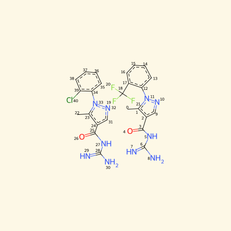 Cc1c(C(=O)NC(=N)N)cnn1-c1ccccc1C(F)(F)F.Cc1c(C(=O)NC(=N)N)cnn1-c1ccccc1Cl